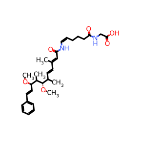 COC(/C=C/c1ccccc1)C(C)[C@@H](OC)C(C)/C=C/C(C)=C/C(=O)N/C=C\CCCC(=O)NCC(=O)O